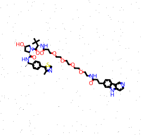 Cc1ncsc1-c1ccc([C@H](C)NC(=O)[C@@H]2C[C@@H](O)CN2C(=O)[C@@H](NC(=O)CCOCCOCCOCCOCCNC(=O)CCc2ccc3c(c2)[nH]c2ccncc23)C(C)(C)C)cc1